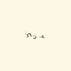 CC1(C)C(COc2ccn(-c3ccc(C(N)=O)c(Cl)n3)n2)C1(C)C